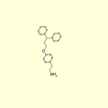 NCCc1ccc(OCCC(c2ccccc2)c2ccccc2)cc1